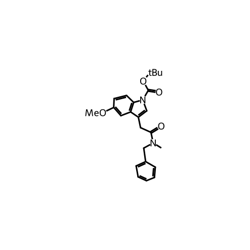 COc1ccc2c(c1)c(CC(=O)N(C)Cc1ccccc1)cn2C(=O)OC(C)(C)C